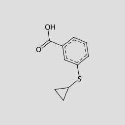 O=C(O)c1cccc(SC2CC2)c1